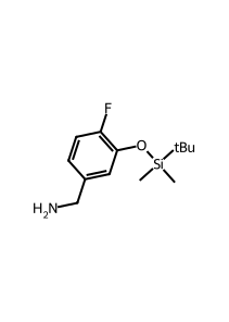 CC(C)(C)[Si](C)(C)Oc1cc(CN)ccc1F